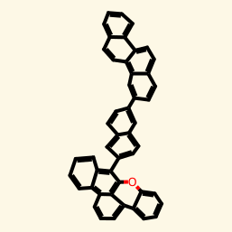 c1ccc2c(c1)Oc1c(-c3ccc4cc(-c5ccc6ccc7c8ccccc8ccc7c6c5)ccc4c3)c3ccccc3c3cccc-2c13